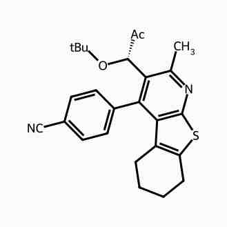 CC(=O)[C@@H](OC(C)(C)C)c1c(C)nc2sc3c(c2c1-c1ccc(C#N)cc1)CCCC3